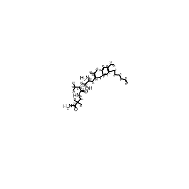 CCCCCCc1cc(C[C@@H](C[C@H](N)[C@@H](O)C[C@H](C(=O)NCC(C)(C)C(N)=O)C(C)C)C(C)C)ccc1CC